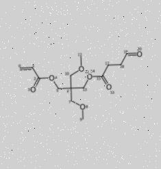 C=CC(=O)OCC(COC)(COC)COC(=O)CCC=O